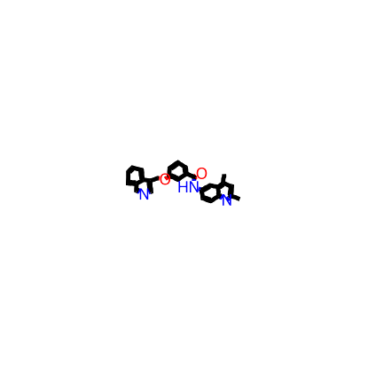 Cc1cc(C)c2cc(NC(=O)c3cccc(OCc4cncc5ccccc45)c3)ccc2n1